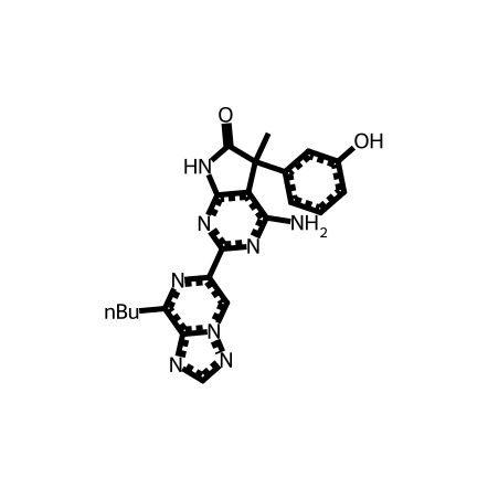 CCCCc1nc(-c2nc(N)c3c(n2)NC(=O)C3(C)c2cccc(O)c2)cn2ncnc12